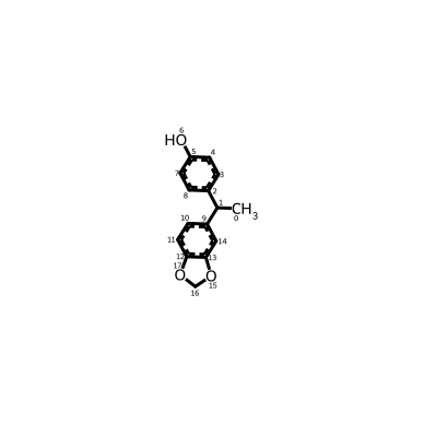 CC(c1ccc(O)cc1)c1ccc2c(c1)OCO2